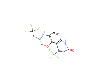 O=c1cc(C(F)(F)F)c2c3c(ccc2[nH]1)NC(CC(F)(F)F)CO3